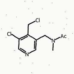 CC(=O)N(C)Cc1cncc(Cl)c1CCl